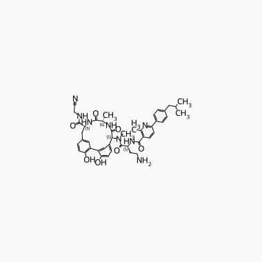 Cc1nc(-c2ccc(CC(C)C)cc2)ccc1C(=O)N[C@@H](CCN)C(=O)N(C)[C@@H]1C(=O)N[C@@H](C)C(=O)N[C@H](C(=O)NCC#N)Cc2ccc(O)c(c2)-c2cc1ccc2O